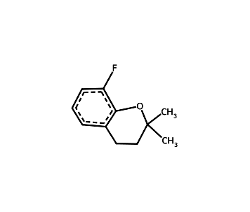 CC1(C)CCc2cccc(F)c2O1